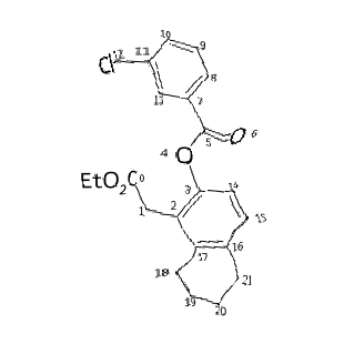 CCOC(=O)Cc1c(OC(=O)c2cccc(Cl)c2)ccc2c1CCCC2